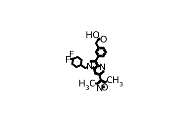 Cc1noc(C)c1-c1cnc2c(-c3cccc(CC(=O)O)c3)cn(CC3CCC(F)(F)CC3)c2c1